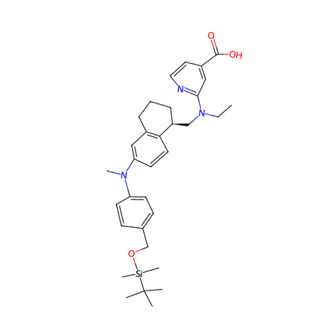 CCN(C[C@@H]1CCCc2cc(N(C)c3ccc(CO[Si](C)(C)C(C)(C)C)cc3)ccc21)c1cc(C(=O)O)ccn1